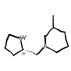 CC1CCCN(C[C@@H]2CCCN2)C1